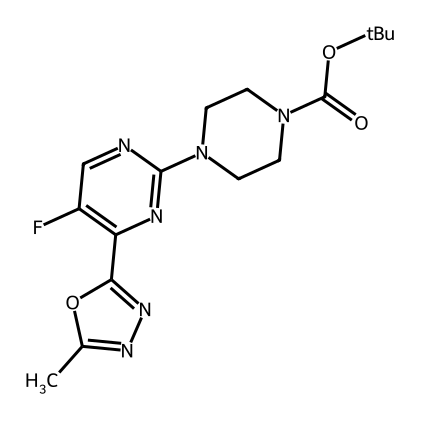 Cc1nnc(-c2nc(N3CCN(C(=O)OC(C)(C)C)CC3)ncc2F)o1